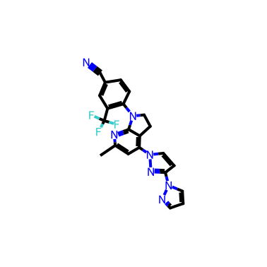 Cc1cc(-n2ccc(-n3cccn3)n2)c2c(n1)N(c1ccc(C#N)cc1C(F)(F)F)CC2